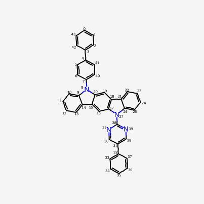 c1ccc(-c2ccc(-n3c4ccccc4c4cc5c(cc43)c3ccccc3n5-c3ncc(-c4ccccc4)cn3)cc2)cc1